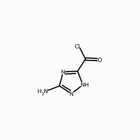 Nc1n[nH]c(C(=O)Cl)n1